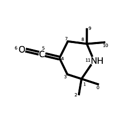 CC1(C)CC(=C=O)CC(C)(C)N1